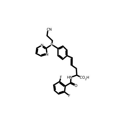 N#CCCN(c1ccc(C=CCC(NC(=O)c2c(F)cccc2F)C(=O)O)cc1)c1ncccn1